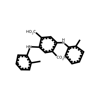 Cc1ccccc1Nc1cc(C(=O)O)c(Nc2ccccc2C)cc1C(=O)O